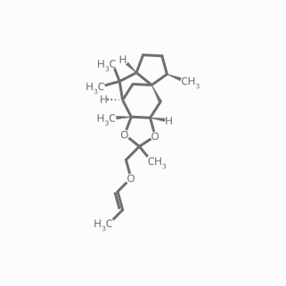 CC=COCC1(C)O[C@H]2C[C@@]34C[C@H](C(C)(C)[C@@H]3CC[C@H]4C)[C@@]2(C)O1